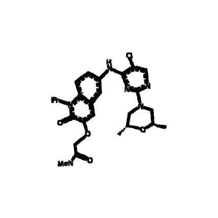 CNC(=O)COc1cc2cc(Nc3nc(N4C[C@@H](C)O[C@H](C)C4)ncc3Cl)ccc2n(C(C)C)c1=O